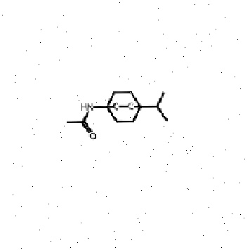 CC(=O)NC12CCC(C(C)C)(CC1)CC2